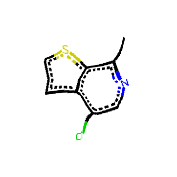 Cc1ncc(Cl)c2ccsc12